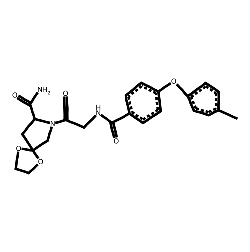 Cc1ccc(Oc2ccc(C(=O)NCC(=O)N3CC4(CC3C(N)=O)OCCO4)cc2)cc1